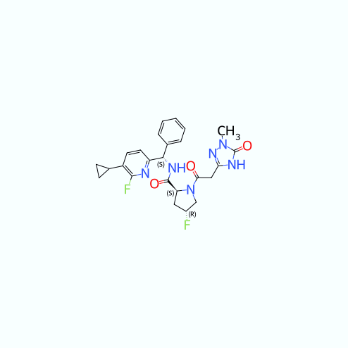 Cn1nc(CC(=O)N2C[C@H](F)C[C@H]2C(=O)N[C@@H](c2ccccc2)c2ccc(C3CC3)c(F)n2)[nH]c1=O